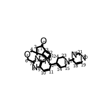 O=C1CC2(COCc3nc4ccc(C5=CCN(c6ccncn6)CC5)nc4n32)c2ccccc21